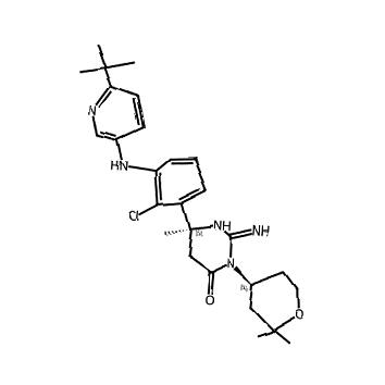 CC1(C)C[C@@H](N2C(=N)N[C@](C)(c3cccc(Nc4ccc(C(C)(C)C)nc4)c3Cl)CC2=O)CCO1